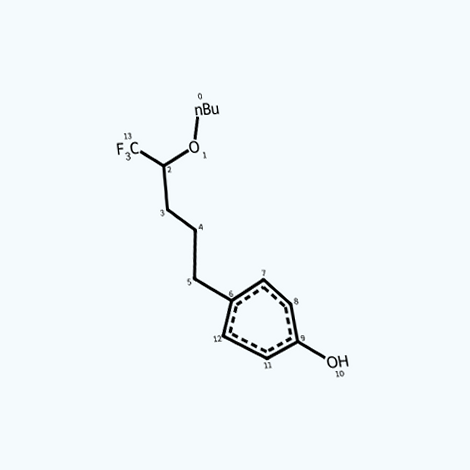 CCCCOC(CCCc1ccc(O)cc1)C(F)(F)F